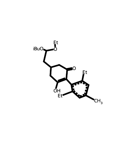 CCOC(CC1CC(=O)C(c2c(CC)cc(C)cc2CC)=C(O)C1)OCC(C)C